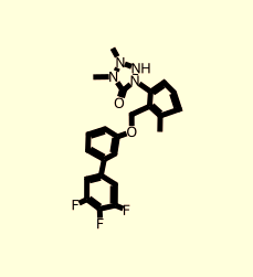 Cc1cccc(N2NN(C)N(C)C2=O)c1COc1cccc(-c2cc(F)c(F)c(F)c2)c1